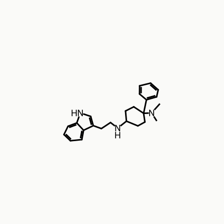 CN(C)C1(c2ccccc2)CCC(NCCc2c[nH]c3ccccc23)CC1